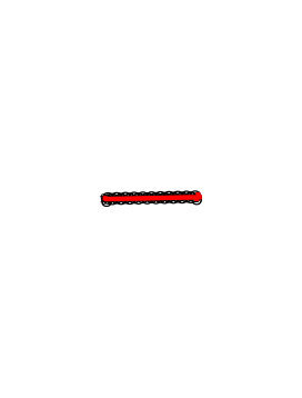 C=C(C)C(=O)OCCOCCOCCOCCOCCOCCOCCOCCOCCOCCOCCOCCOCCOCCOCCOCCOCCOCCOCCOCCOC(=O)C(=C)C